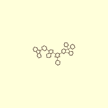 c1ccc(-c2nc(-c3ccc4c(c3)-c3ccccc3C4(c3ccccc3)c3ccccc3)cc(-c3ccc(-c4cccc(-n5c6ccccc6c6ccccc65)c4)c4ccccc34)n2)cc1